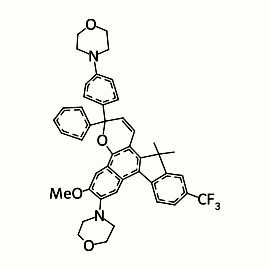 COc1cc2c3c(c4c(c2cc1N1CCOCC1)-c1ccc(C(F)(F)F)cc1C4(C)C)C=CC(c1ccccc1)(c1ccc(N2CCOCC2)cc1)O3